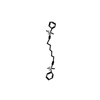 C[Si](C)(C#CCCCCCCC#C[Si](C)(C)c1ccccc1)c1ccccc1